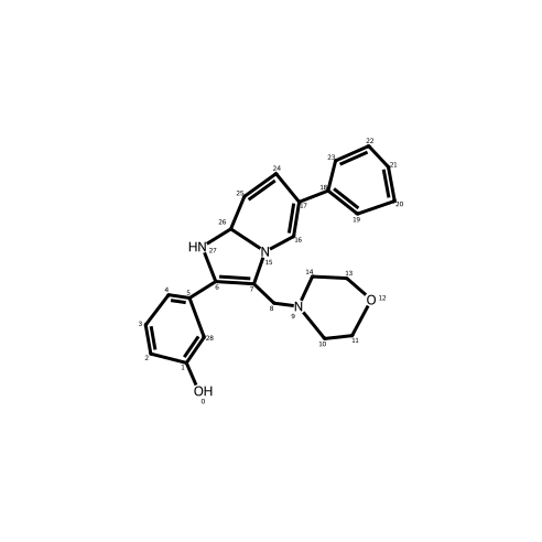 Oc1cccc(C2=C(CN3CCOCC3)N3C=C(c4ccccc4)C=CC3N2)c1